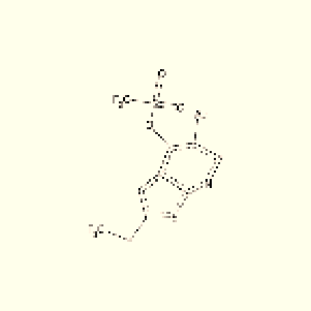 CC(=O)c1cnc2sc(CC(F)(F)F)cc2c1OS(=O)(=O)C(F)(F)F